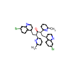 Cc1cccc(C(Cc2ccnc3cc(Br)ccc23)C(=O)C(Cc2ccnc3cc(Br)ccc23)c2cccc(C)n2)n1